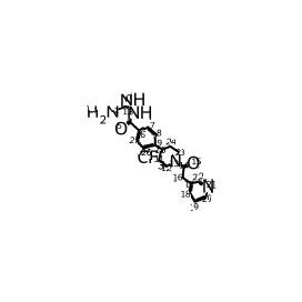 N=C(N)NC(=O)c1ccc(C2CCN(C(=O)Cc3cccnc3)CC2)c(C(F)(F)F)c1